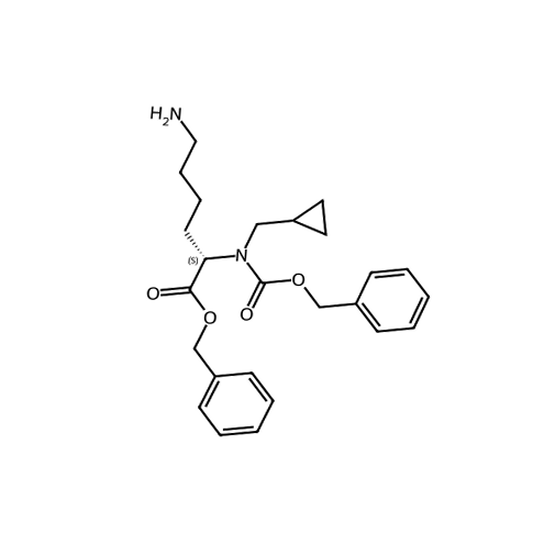 NCCCC[C@@H](C(=O)OCc1ccccc1)N(CC1CC1)C(=O)OCc1ccccc1